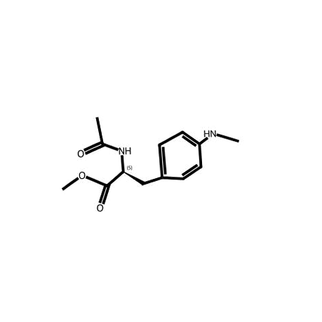 CNc1ccc(C[C@H](NC(C)=O)C(=O)OC)cc1